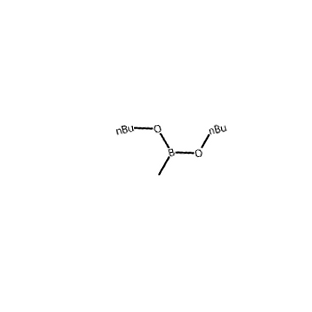 CCCCOB(C)OCCCC